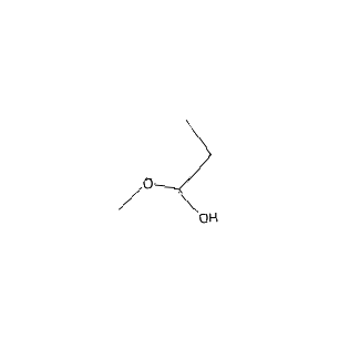 CC[C](O)OC